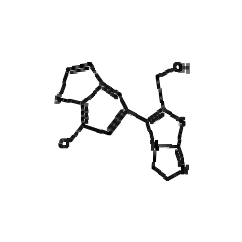 OCC1=C(c2cc(Cl)c3sccc3c2)N2CCN=C2S1